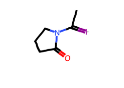 CC(=[I])N1CCCC1=O